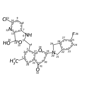 Cc1cc(CCNc2ccc(Cl)nc2C(=O)O)c2oc(N3Cc4ccc(F)cc4C3)cc(=O)c2c1